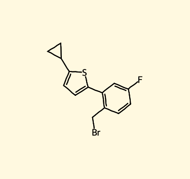 Fc1ccc(CBr)c(-c2ccc(C3CC3)s2)c1